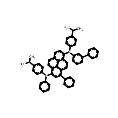 CC(C)c1ccc(N(c2cccc(-c3ccccc3)c2)c2ccc3ccc4c(N(c5ccccc5)c5ccc(C(C)C)cc5)cc(-c5ccccc5)c5ccc2c3c54)cc1